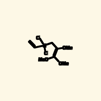 C=C[Si](Cl)(Cl)CC(OC)=C(OC)OC